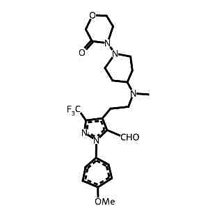 COc1ccc(-n2nc(C(F)(F)F)c(CCN(C)C3CCN(N4CCOCC4=O)CC3)c2C=O)cc1